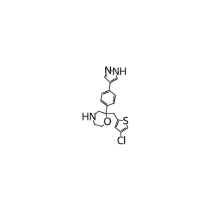 Clc1csc(CC2(c3ccc(-c4cn[nH]c4)cc3)CNCCO2)c1